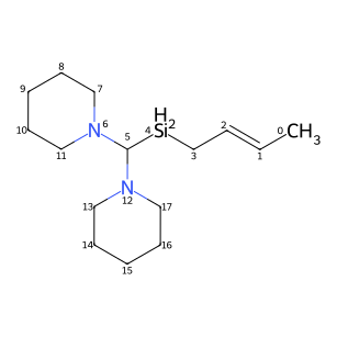 CC=CC[SiH2]C(N1CCCCC1)N1CCCCC1